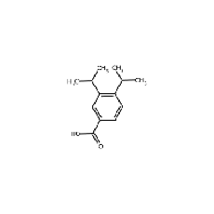 CC(C)c1ccc(C(=O)O)cc1C(C)C